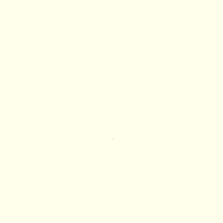 Oc1ccccc1Cl.c1ccsc1